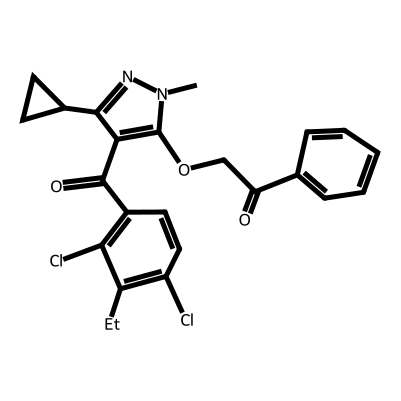 CCc1c(Cl)ccc(C(=O)c2c(C3CC3)nn(C)c2OCC(=O)c2ccccc2)c1Cl